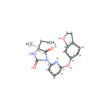 CC[C@]1(C)NC(=O)N(c2cccc(Oc3ccc4c(c3)OCC4)n2)C1=O